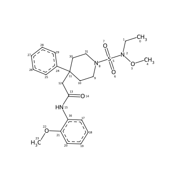 CCN(OC)S(=O)(=O)N1CCC(CC(=O)Nc2ccccc2OC)(c2ccccc2)CC1